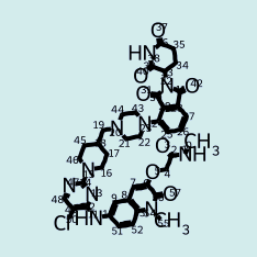 CNC(=O)COc1cc2cc(Nc3nc(N4CCC(CN5CCN(c6cccc7c6C(=O)N(C6CCC(=O)NC6=O)C7=O)CC5)CC4)ncc3Cl)ccc2n(C)c1=O